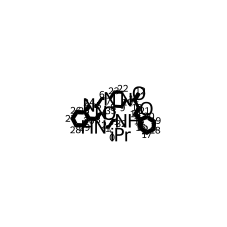 CC(C)[C@H](Nc1nc(CN2CCN(C(=O)c3cc4ccccc4o3)CC2)nc2ccccc12)C(N)=O